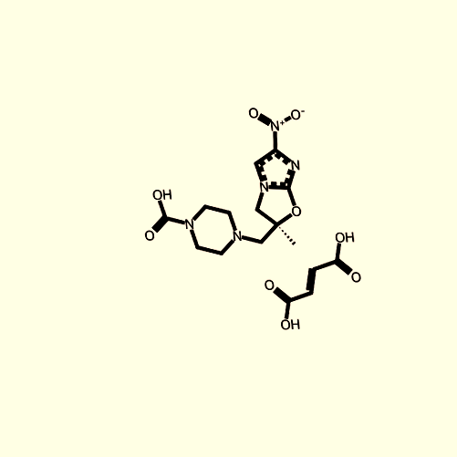 C[C@]1(CN2CCN(C(=O)O)CC2)Cn2cc([N+](=O)[O-])nc2O1.O=C(O)C=CC(=O)O